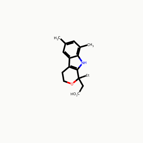 CCC1(CC(=O)O)OCCc2c1[nH]c1c(C)cc(C)cc21